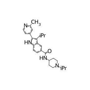 Cc1cc(-c2[nH]c3ccc(C(=O)NC4CCN(C(C)C)CC4)cc3c2C(C)C)ccn1